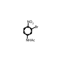 CC(=O)Nc1ccc([N+](=O)[O-])c(Br)c1